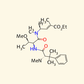 CCOC(=O)/C(C)=C/[C@H](C(C)C)N(C)C(=O)[C@@H](NC(=O)[C@@H](NC)C(C)(C)c1ccccc1)[C@@H](C)OC